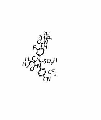 [2H]C([2H])([2H])NC(=O)c1ccc(N2C(S(=O)(=O)O)N(c3ccc(C#N)c(C(F)(F)F)c3)C(=O)C2(C)C)cc1F